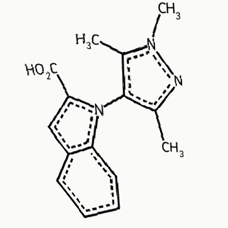 Cc1nn(C)c(C)c1-n1c(C(=O)O)cc2ccccc21